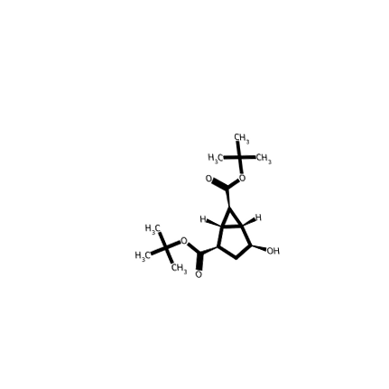 CC(C)(C)OC(=O)[C@@H]1[C@@H]2[C@H]1[C@@H](O)C[C@H]2C(=O)OC(C)(C)C